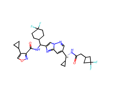 O=C(CC1CC(F)(F)C1)N[C@@H](c1cnn2cc(C(NC(=O)c3nocc3C3CC3)C3CCC(F)(F)CC3)nc2c1)C1CC1